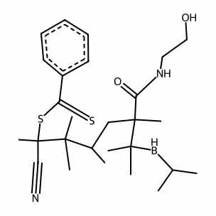 CC(C)BC(C)(C)C(C)(CC(C)C(C)(C)C(C)(C#N)SC(=S)c1ccccc1)C(=O)NCCO